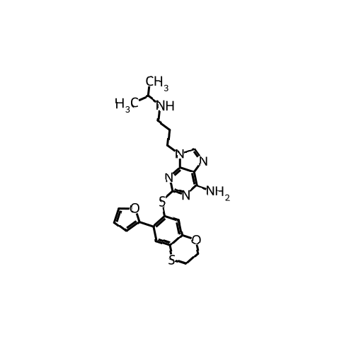 CC(C)NCCCn1cnc2c(N)nc(Sc3cc4c(cc3-c3ccco3)SCCO4)nc21